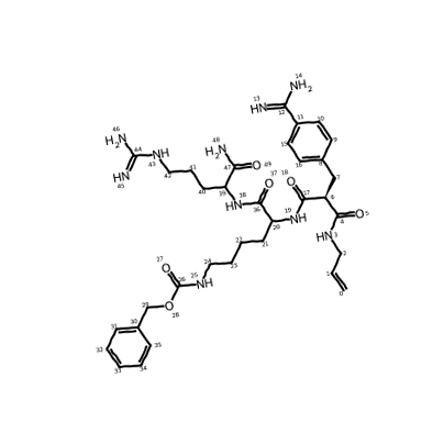 C=CCNC(=O)[C@H](Cc1ccc(C(=N)N)cc1)C(=O)NC(CCCCNC(=O)OCc1ccccc1)C(=O)NC(CCCNC(=N)N)C(N)=O